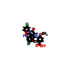 COc1ccc(C(=O)O)cc1-n1nc2c(c1C(C)C)C1(C(=O)Nc3cc(Cl)ccc31)N(c1cc(Cl)ccc1O)C2=O